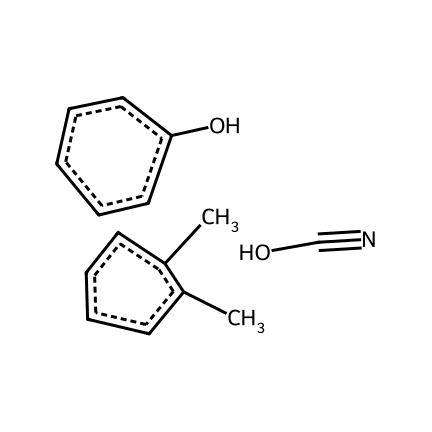 Cc1ccccc1C.N#CO.Oc1ccccc1